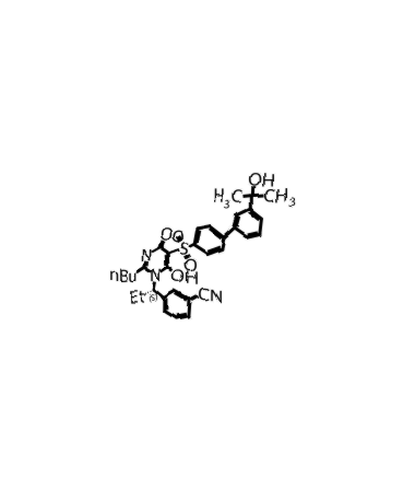 CCCCc1nc(=O)c(S(=O)(=O)c2ccc(-c3cccc(C(C)(C)O)c3)cc2)c(O)n1[C@@H](CC)c1cccc(C#N)c1